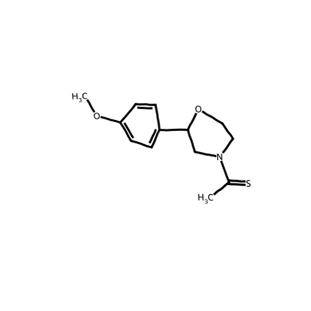 COc1ccc(C2CN(C(C)=S)CCO2)cc1